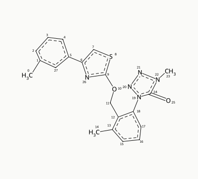 Cc1cccc(-c2csc(OCc3c(C)cccc3-n3nnn(C)c3=O)n2)c1